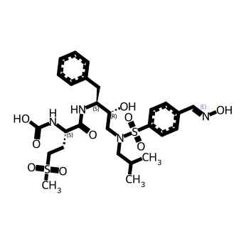 CC(C)CN(C[C@@H](O)[C@H](Cc1ccccc1)NC(=O)[C@H](CCS(C)(=O)=O)NC(=O)O)S(=O)(=O)c1ccc(/C=N/O)cc1